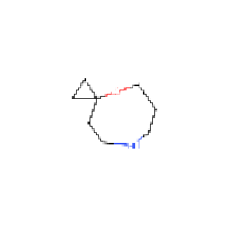 C1CNCCC2(CC2)OC1